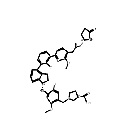 COc1nc(-c2cccc(-c3cccc4c3CC[C@@H]4Nc3nc(OC)c(CN4CC[C@@H](C(=O)O)C4)cc3Cl)c2Cl)ccc1CNC[C@@H]1CCC(=O)N1